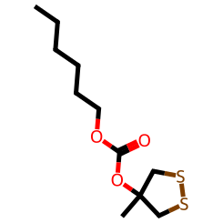 CCCCCCOC(=O)OC1(C)CSSC1